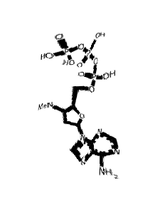 CNC1CC(n2cnc3c(N)ncnc32)OC1COP(=O)(O)OP(=O)(O)OP(=O)(O)O